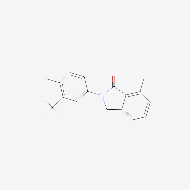 Cc1ccc(N2Cc3cccc(C)c3C2=O)cc1C(F)(F)F